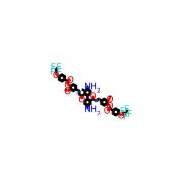 COc1cc(/C=C/C(=O)c2cc(N)ccc2-c2ccc(N)c(C)c2C(=O)/C=C/c2ccc(OC(=O)c3ccc(OC(F)(F)C(F)F)cc3)c(OC)c2)ccc1OC(=O)c1ccc(OC(F)(F)C(F)F)cc1